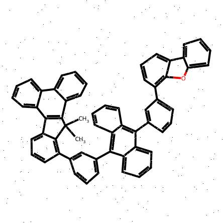 CC1(C)c2c(-c3cccc(-c4c5ccccc5c(-c5cccc(-c6cccc7c6oc6ccccc67)c5)c5ccccc45)c3)cccc2-c2c1c1ccccc1c1ccccc21